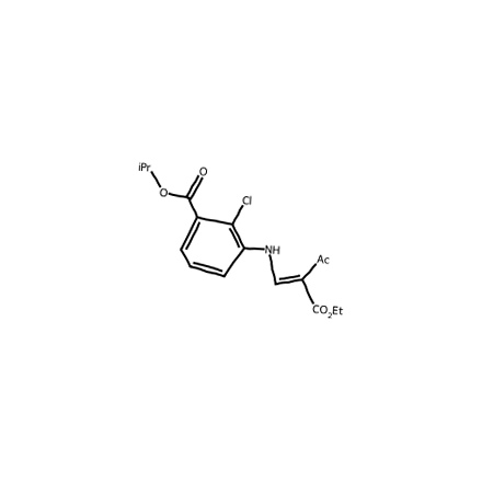 CCOC(=O)C(=CNc1cccc(C(=O)OC(C)C)c1Cl)C(C)=O